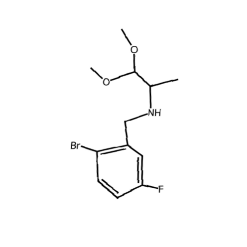 COC(OC)C(C)NCc1cc(F)ccc1Br